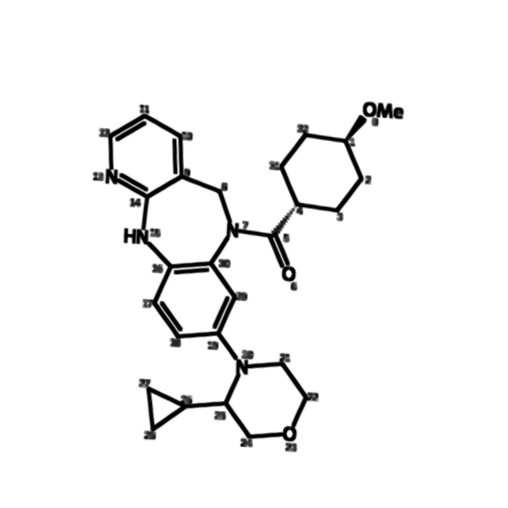 CO[C@H]1CC[C@H](C(=O)N2Cc3cccnc3Nc3ccc(N4CCOCC4C4CC4)cc32)CC1